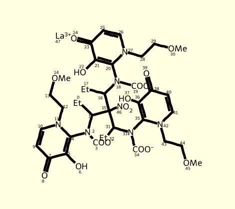 CCC(N(C(=O)[O-])c1c(O)c(=O)ccn1CCOC)C(C(CC)N(C(=O)[O-])c1c(O)c(=O)ccn1CCOC)(C(CC)N(C(=O)[O-])c1c(O)c(=O)ccn1CCOC)[N+](=O)[O-].[La+3]